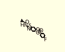 O=C(Nc1nc2ccc(OS(=O)(=O)c3ccc(F)cc3)cc2s1)C1CC1